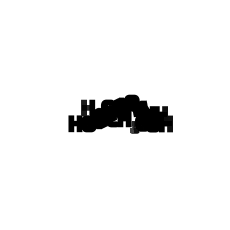 CC(C)(c1ccc(O)cc1)c1ccc(OC2CC(NC(=O)O)C2)cc1